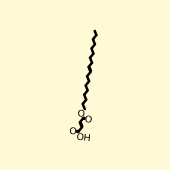 CCCCCCCCC=CCCCCCCCCOC(=O)C=CC(=O)O